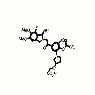 COc1cc2c(c(F)c1OC)C(=N)N(CC(=O)c1cc(N3CCC(OCC(=O)O)C3)c(OC(=O)C(F)(F)F)c(C(C)(C)C)c1)C2